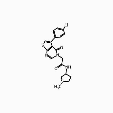 CN1CCC(NC(=O)Cn2cnc3scc(-c4ccc(Cl)cc4)c3c2=O)C1